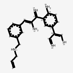 C=CCNCc1cccc(/C=C(\N)C(=N)c2cc(/C(C=N)=C/S)ccc2N)c1